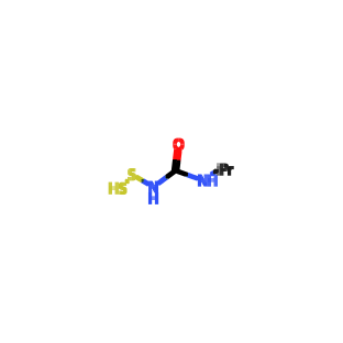 CC(C)NC(=O)NSS